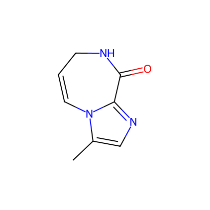 Cc1cnc2n1C=CCNC2=O